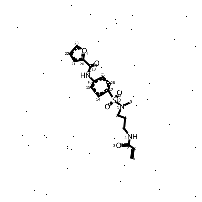 C=CC(=O)NCCCN(C)S(=O)(=O)c1ccc(NC(=O)c2ccco2)cc1